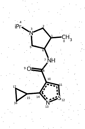 CC1CN(C(C)C)CC1NC(=O)c1csnc1C1CC1